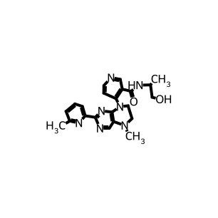 Cc1cccc(-c2ncc3c(n2)N(c2ccncc2C(=O)NC(C)CO)CCN3C)n1